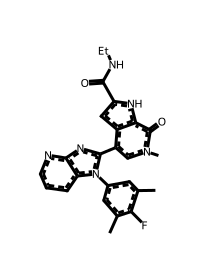 CCNC(=O)c1cc2c(-c3nc4ncccc4n3-c3cc(C)c(F)c(C)c3)cn(C)c(=O)c2[nH]1